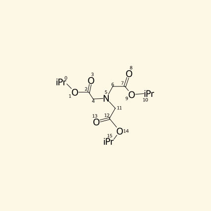 CC(C)OC(=O)CN(CC(=O)OC(C)C)CC(=O)OC(C)C